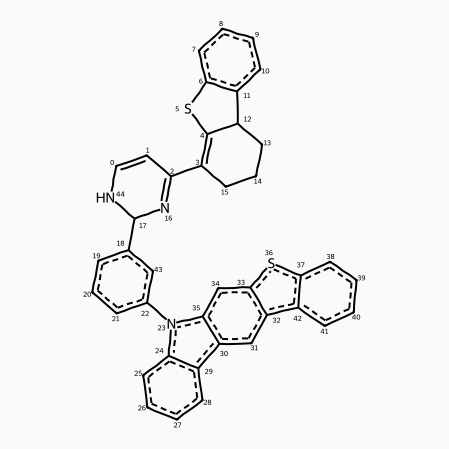 C1=CC(C2=C3Sc4ccccc4C3CCC2)=NC(c2cccc(-n3c4ccccc4c4cc5c(cc43)sc3ccccc35)c2)N1